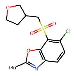 CC(C)(C)c1nc2ccc(Cl)c(S(=O)(=O)CC3CCOC3)c2o1